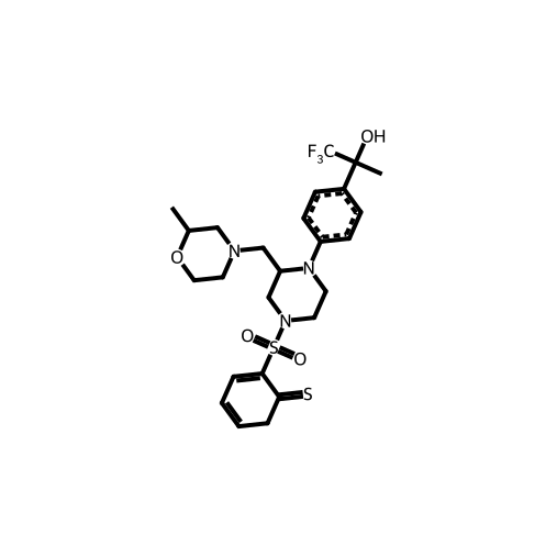 CC1CN(CC2CN(S(=O)(=O)C3=CC=CCC3=S)CCN2c2ccc(C(C)(O)C(F)(F)F)cc2)CCO1